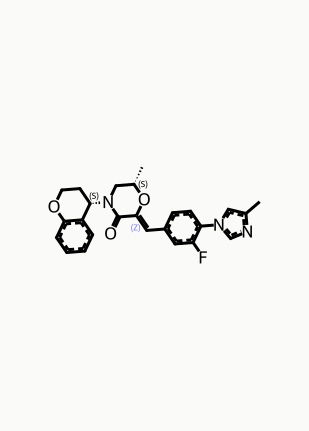 Cc1cn(-c2ccc(/C=C3\O[C@@H](C)CN([C@H]4CCOc5ccccc54)C3=O)cc2F)cn1